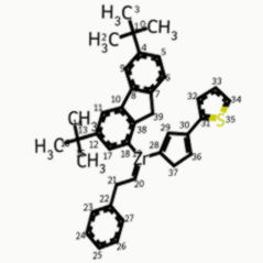 CC(C)(C)c1ccc2c(c1)-c1cc(C(C)(C)C)c[c](/[Zr](=[CH]\Cc3ccccc3)[C]3=CC(c4cccs4)=CC3)c1C2